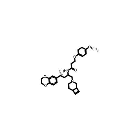 COC1=CC=C(OCCC(=O)NC(C[C@@H](O)c2ccc3c(c2)OCCO3)CN2CCC3C=CC3C2)CC1